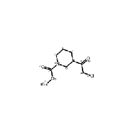 CC(C)(C)OC(=O)N1CCCC(C(=O)CCl)C1